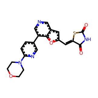 O=C1NC(=O)/C(=C/c2cc3cncc(-c4ccc(N5CCOCC5)nc4)c3o2)S1